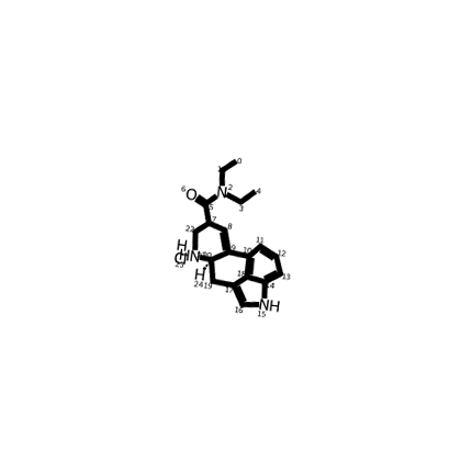 CCN(CC)C(=O)C1C=C2c3cccc4[nH]cc(c34)C[C@H]2NC1.Cl